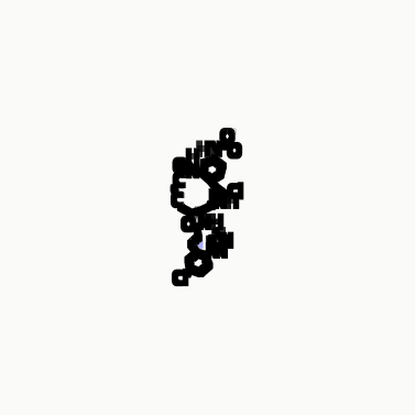 COC(=O)Nc1ccc2c(c1)NC(=O)CCCCC[C@H](NC(=O)/C=C/c1cc(Cl)ccc1-n1cnnn1)c1nc-2c(Cl)[nH]1